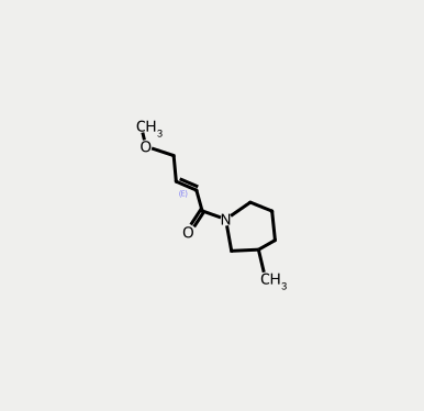 COC/C=C/C(=O)N1CCCC(C)C1